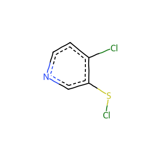 ClSc1cnccc1Cl